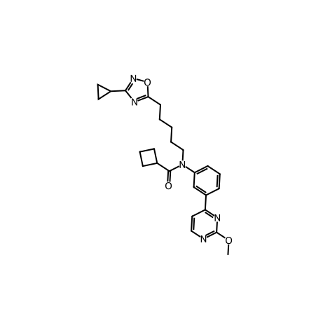 COc1nccc(-c2cccc(N(CCCCCc3nc(C4CC4)no3)C(=O)C3CCC3)c2)n1